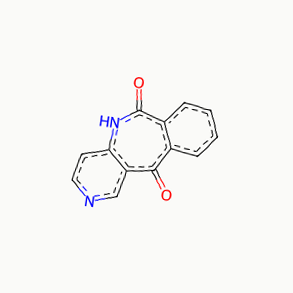 O=c1[nH]c2ccncc2c(=O)c2ccccc12